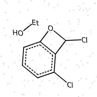 CCO.Clc1cccc2c1C(Cl)O2